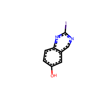 Oc1ccc2nc(I)ncc2c1